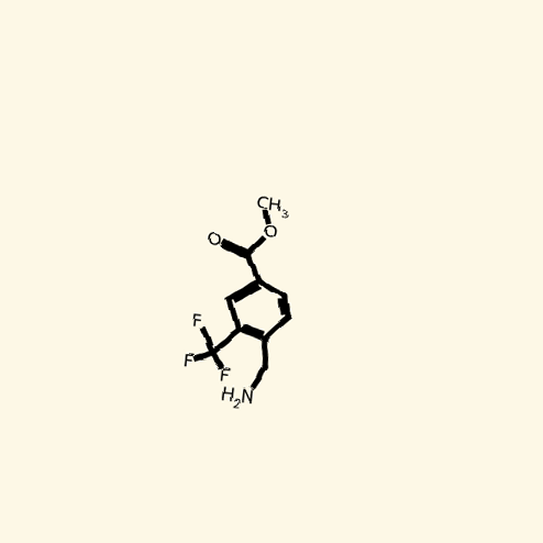 COC(=O)c1ccc(CN)c(C(F)(F)F)c1